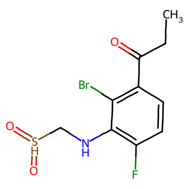 CCC(=O)c1ccc(F)c(NC[SH](=O)=O)c1Br